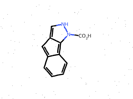 O=C(O)n1[nH]cc2cc3ccccc3c1-2